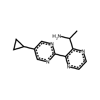 CC(N)c1nccnc1-c1ncc(C2CC2)cn1